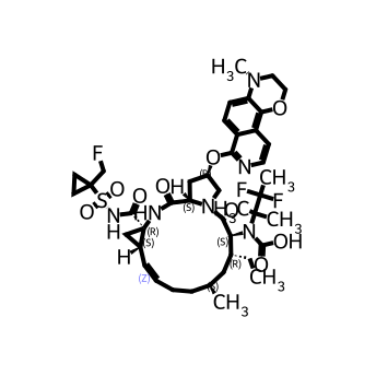 CC[C@@H]1C[C@@H](C)CC/C=C\[C@@H]2C[C@@]2(C(=O)NS(=O)(=O)C2(CF)CC2)NC(=O)[C@@H]2C[C@@H](Oc3nccc4c5c(ccc34)N(C)CCO5)CN2C(=O)[C@H]1N(C(=O)O)C(C)(C)C(C)(F)F